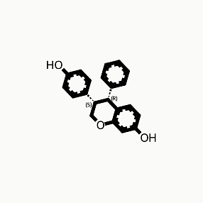 Oc1ccc([C@H]2COc3cc(O)ccc3[C@H]2c2ccccc2)cc1